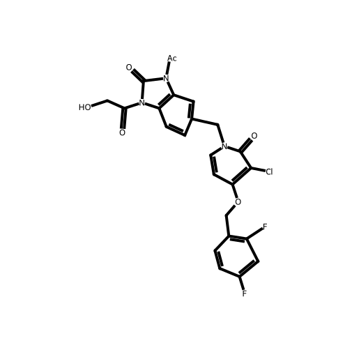 CC(=O)n1c(=O)n(C(=O)CO)c2ccc(Cn3ccc(OCc4ccc(F)cc4F)c(Cl)c3=O)cc21